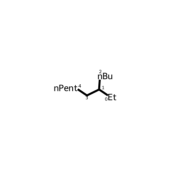 [CH2]CC(CCCC)CCCCCC